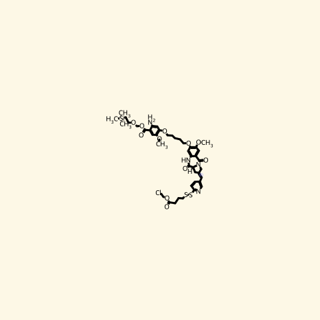 COc1cc(C(=O)OCOCC[Si](C)(C)C)c(N)cc1OCCCCCOc1cc2c(cc1OC)C(=O)N1C/C(=C/c3ccc(SSCCCC(=O)OCCl)nc3)C[C@H]1C(=O)N2